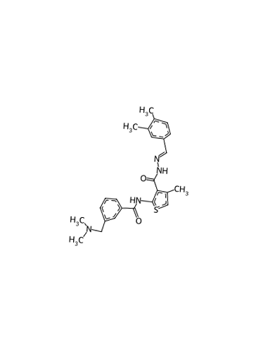 Cc1ccc(C=NNC(=O)c2c(C)csc2NC(=O)c2cccc(CN(C)C)c2)cc1C